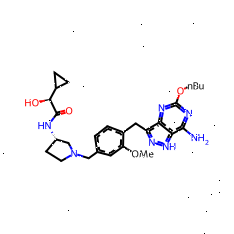 CCCCOc1nc(N)c2[nH]nc(Cc3ccc(CN4CC[C@H](NC(=O)[C@@H](O)C5CC5)C4)cc3OC)c2n1